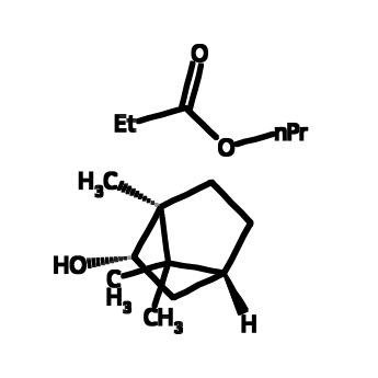 CC1(C)[C@@H]2CC[C@]1(C)[C@@H](O)C2.CCCOC(=O)CC